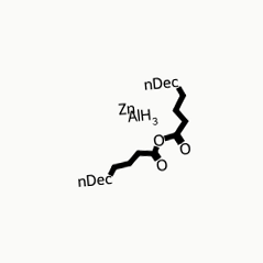 CCCCCCCCCCCCCC(=O)OC(=O)CCCCCCCCCCCCC.[AlH3].[Zn]